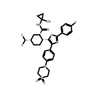 N#CC1(NC(=O)[C@@H]2C[C@@H](C(F)F)CC[C@H]2c2oc(-c3ccc(F)cc3)nc2-c2ccc(N3CCS(=O)(=O)CC3)cc2)CC1